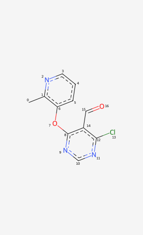 Cc1ncccc1Oc1ncnc(Cl)c1C=O